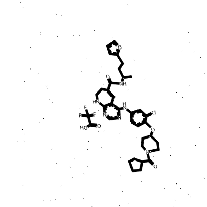 CC(CCc1ccco1)NC(=O)C1=Cc2c(ncnc2Nc2ccc(OC3CCN(C(=O)C4CCCC4)CC3)c(Cl)c2)NCC1.O=C(O)C(F)(F)F